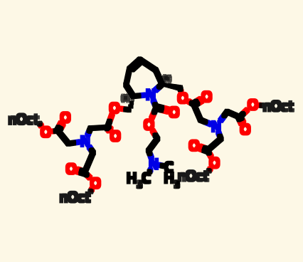 CCCCCCCCOC(=O)CN(CC(=O)OCCCCCCCC)CC(=O)OC[C@@H]1CC=CC[C@@H](COC(=O)CN(CC(=O)OCCCCCCCC)CC(=O)OCCCCCCCC)N1C(=O)OCCN(C)C